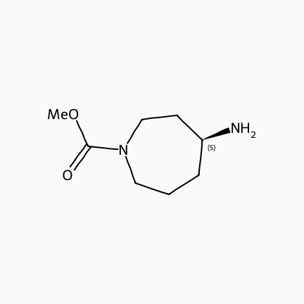 COC(=O)N1CCC[C@H](N)CC1